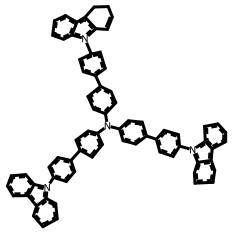 C1=Cc2c(c3ccccc3n2-c2ccc(-c3ccc(N(c4ccc(-c5ccc(-n6c7ccccc7c7ccccc76)cc5)cc4)c4ccc(-c5ccc(-n6c7ccccc7c7ccccc76)cc5)cc4)cc3)cc2)CC1